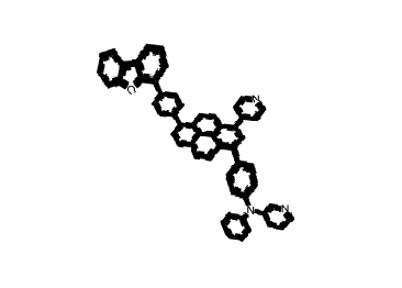 c1ccc(N(c2ccc(-c3cc(-c4ccncc4)c4ccc5c(-c6ccc(-c7cccc8c7oc7ccccc78)cc6)ccc6ccc3c4c65)cc2)c2cccnc2)cc1